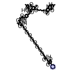 COc1cc2c(cc1OCCCCCOc1cc3c(cc1OC)C(=O)N1C=C(C)C[C@H]1[C@H](O)N3C(=O)OCc1ccc(NC(=O)C(C)NC(=O)[C@@H](NC(=O)CCOCCOCCOCCOCCOCCOCCOCCOCCNC(=O)CCN3C(=O)CC(C4=C/C=C\C=C/C=C\4)C3=O)C(C)C)cc1)N=C[C@@H]1CC(C)=CN1C2=O